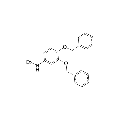 CCNc1ccc(OCc2ccccc2)c(OCc2ccccc2)c1